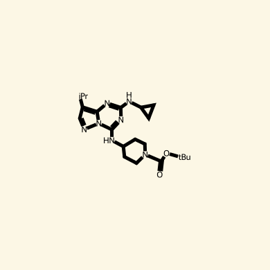 CC(C)c1cnn2c(NC3CCN(C(=O)OC(C)(C)C)CC3)nc(NC3CC3)nc12